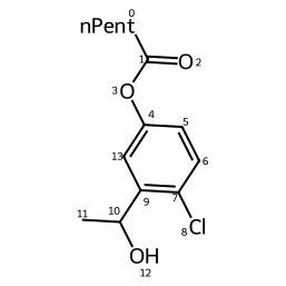 CCCCCC(=O)Oc1ccc(Cl)c(C(C)O)c1